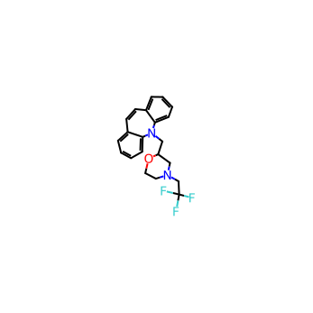 FC(F)(F)CN1CCOC(CN2c3ccccc3C=Cc3ccccc32)C1